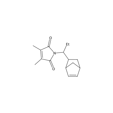 CCC(C1CC2C=CC1C2)N1C(=O)C(C)=C(C)C1=O